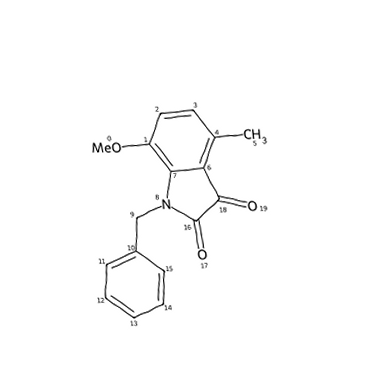 COc1ccc(C)c2c1N(Cc1ccccc1)C(=O)C2=O